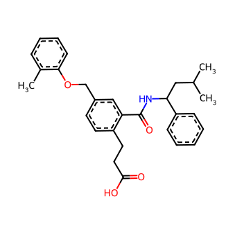 Cc1ccccc1OCc1ccc(CCC(=O)O)c(C(=O)NC(CC(C)C)c2ccccc2)c1